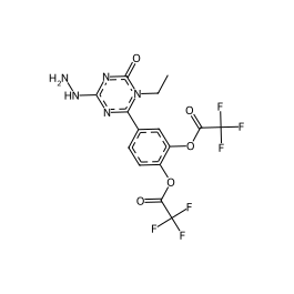 CCn1c(-c2ccc(OC(=O)C(F)(F)F)c(OC(=O)C(F)(F)F)c2)nc(NN)nc1=O